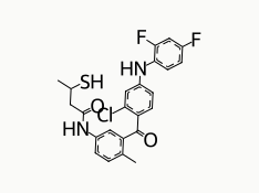 Cc1ccc(NC(=O)CC(C)S)cc1C(=O)c1ccc(Nc2ccc(F)cc2F)cc1Cl